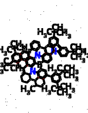 CC1CCCCC1C1CCCC(C2CCCCC2)C1N1c2ccc(-c3cc(C(C)(C)C)cc(C(C)(C)C)c3)cc2B2c3ccc(-n4c5ccc(C(C)(C)C)cc5c5cc(C(C)(C)C)ccc54)cc3N(c3c(C4=CCCC=C4)cccc3-c3ccccc3)c3cc(-c4cc(C(C)(C)C)cc(C(C)(C)C)c4)cc1c32